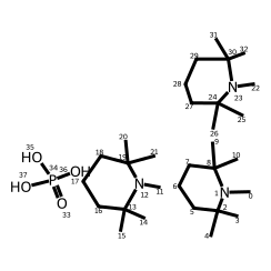 CN1C(C)(C)CCCC1(C)C.CN1C(C)(C)CCCC1(C)C.CN1C(C)(C)CCCC1(C)C.O=P(O)(O)O